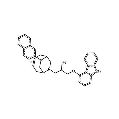 OC(COc1cccc2[nH]c3ccccc3c12)CN1CC2C/C=C\CC1CN2c1ccc2ccccc2c1